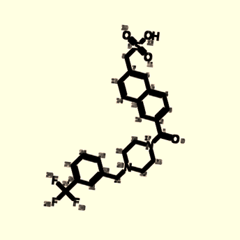 O=C(c1ccc2cc(CS(=O)(=O)O)ccc2c1)N1CCN(Cc2cccc(C(F)(F)F)c2)CC1